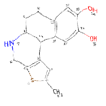 Cc1cc2c(s1)CNC1CCc3cc(O)c(O)cc3C21